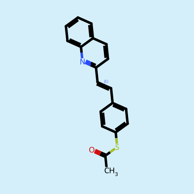 CC(=O)Sc1ccc(/C=C/c2ccc3ccccc3n2)cc1